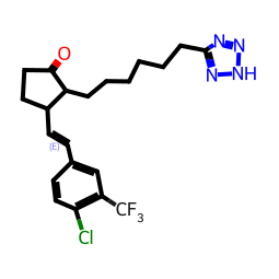 O=C1CCC(/C=C/c2ccc(Cl)c(C(F)(F)F)c2)C1CCCCCCc1nn[nH]n1